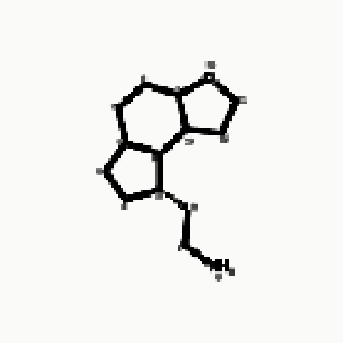 NCC[C@@H]1CCC2CCC3OCCC3C21